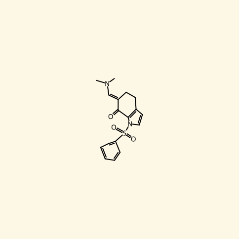 CN(C)/C=C1\CCc2ccn(S(=O)(=O)c3ccccc3)c2C1=O